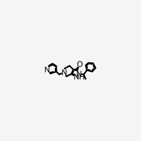 CC(c1ccccc1)n1[nH]c2c(c1=O)CCN(Cc1cccnc1)C2